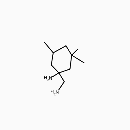 CC1CC(C)(C)CC(N)(CN)C1